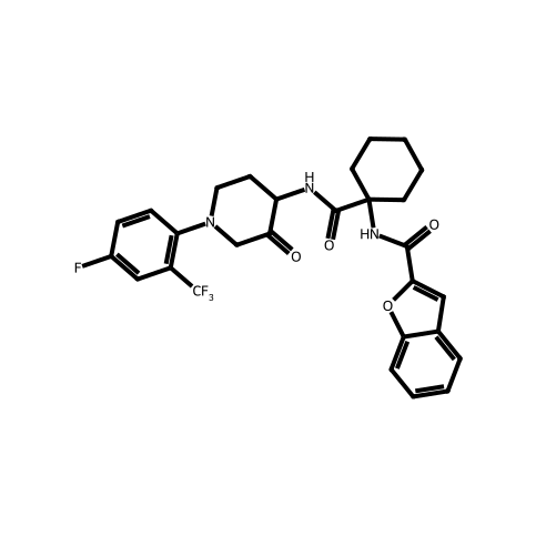 O=C(NC1(C(=O)NC2CCN(c3ccc(F)cc3C(F)(F)F)CC2=O)CCCCC1)c1cc2ccccc2o1